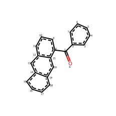 O=C(c1[c]cccc1)c1cccc2cc3ccccc3cc12